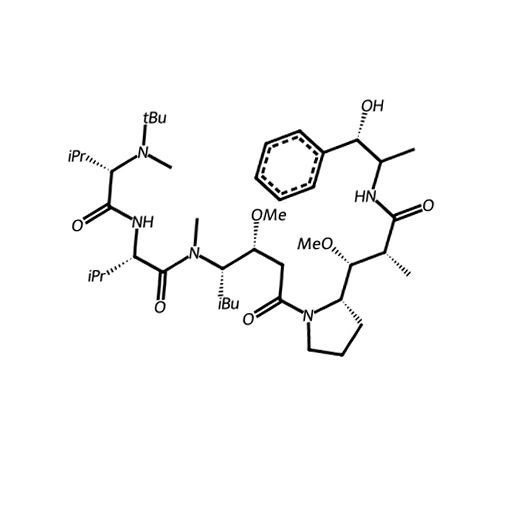 CCC(C)[C@@H]([C@@H](CC(=O)N1CCC[C@H]1[C@H](OC)[C@@H](C)C(=O)NC(C)[C@@H](O)c1ccccc1)OC)N(C)C(=O)[C@@H](NC(=O)[C@H](C(C)C)N(C)C(C)(C)C)C(C)C